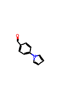 O=Cc1ccc(-n2cccc2)cc1